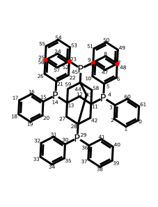 c1ccc(P(c2ccccc2)C23CC4(P(c5ccccc5)c5ccccc5)CC(P(c5ccccc5)c5ccccc5)(C2)CC(P(c2ccccc2)c2ccccc2)(C3)C4)cc1